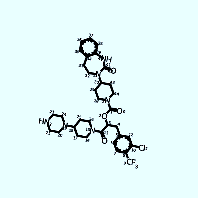 O=C(OC(Cc1ccc(C(F)(F)F)c(Cl)c1)C(=O)N1CCC(N2CCNCC2)CC1)N1CCC(N2CCc3ccccc3NC2=O)CC1